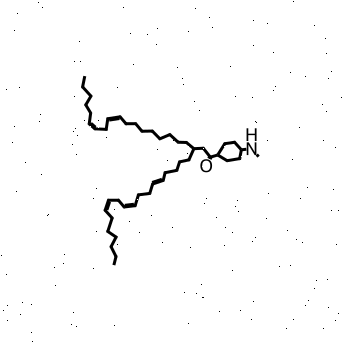 CCCCC/C=C\C/C=C\CCCCCCCCC(CCCC/C=C/CC/C=C\C/C=C\CCCCCC)CC(=O)C1CCC(NC)CC1